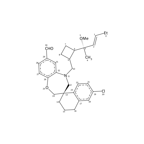 CC/C=C/[C@](C)(OC)C1CCC1CN1C[C@@]2(CCCc3cc(Cl)ccc32)COc2ccc(C=O)cc21